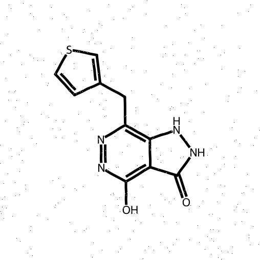 O=c1[nH][nH]c2c(Cc3ccsc3)nnc(O)c12